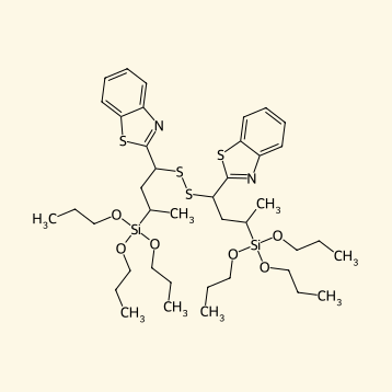 CCCO[Si](OCCC)(OCCC)C(C)CC(SSC(CC(C)[Si](OCCC)(OCCC)OCCC)c1nc2ccccc2s1)c1nc2ccccc2s1